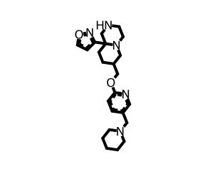 c1cc(C23CCC(COc4ccc(CN5CCCCC5)cn4)CN2CCNC3)no1